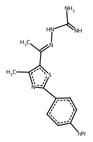 CCCc1ccc(-c2nc(C)c(/C(C)=N/NC(=N)N)s2)cc1